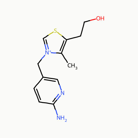 Cc1c(CCO)sc[n+]1Cc1ccc(N)nc1